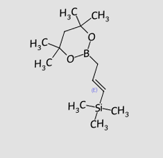 CC1(C)CC(C)(C)OB(C/C=C/[Si](C)(C)C)O1